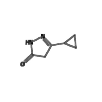 O=C1CC(C2CC2)=NN1